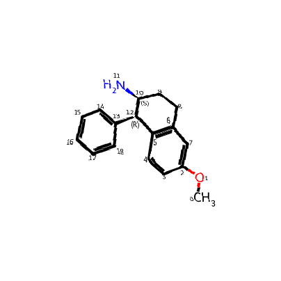 COc1ccc2c(c1)CC[C@H](N)[C@@H]2c1ccccc1